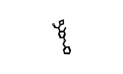 Cc1cc(OCc2ccccc2)ccc1C(C=O)N1CCC1